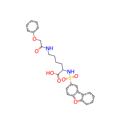 O=C(COc1ccccc1)NCCCCC(NS(=O)(=O)c1ccc2oc3ccccc3c2c1)C(=O)O